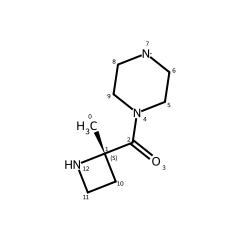 C[C@@]1(C(=O)N2CC[N]CC2)CCN1